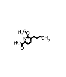 CCCCc1ccc(C(=O)O)nc1OC